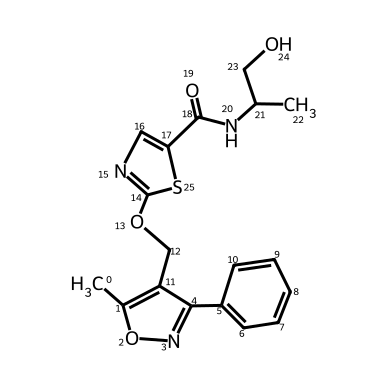 Cc1onc(-c2ccccc2)c1COc1ncc(C(=O)NC(C)CO)s1